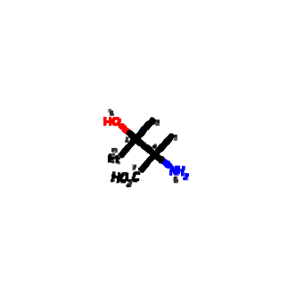 CCC(C)(O)C(C)(N)C(=O)O